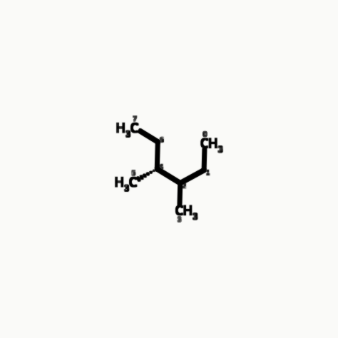 CCC(C)[C@H](C)CC